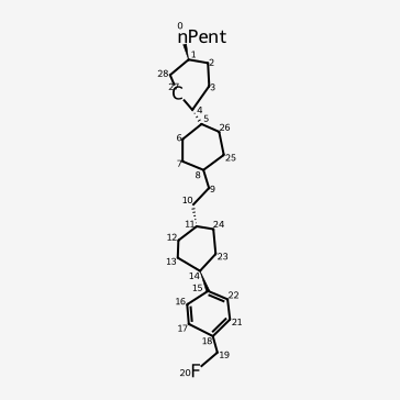 CCCCC[C@H]1CC[C@H](C2CCC(CC[C@H]3CC[C@H](c4ccc(CF)cc4)CC3)CC2)CC1